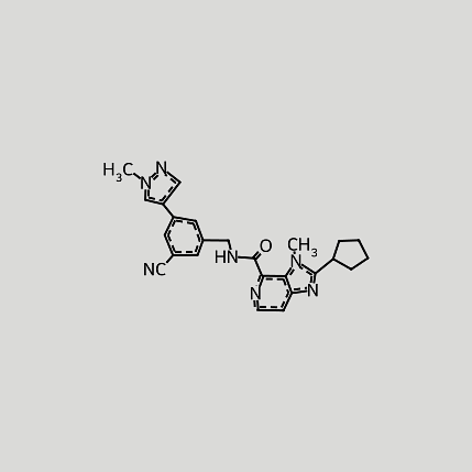 Cn1cc(-c2cc(C#N)cc(CNC(=O)c3nccc4nc(C5CCCC5)n(C)c34)c2)cn1